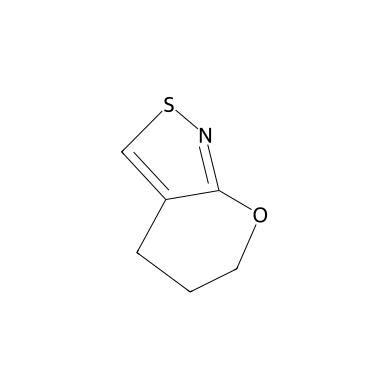 c1snc2c1CCCO2